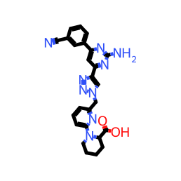 N#Cc1cccc(-c2cc(-c3cn(Cc4cccc(N5CCCCC5C(=O)O)n4)nn3)nc(N)n2)c1